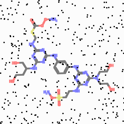 NOOC(=O)SCNc1nc(Nc2cccc(Nc3nc(NCCS(=O)(=O)ON)nc(N(CCO)CCO)n3)c2)nc(NC(CO)CCO)n1